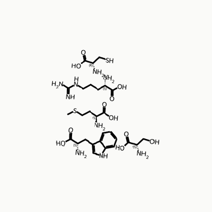 CSCC[C@H](N)C(=O)O.N=C(N)NCCC[C@H](N)C(=O)O.N[C@@H](CO)C(=O)O.N[C@@H](CS)C(=O)O.N[C@@H](Cc1c[nH]c2ccccc12)C(=O)O